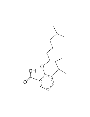 CCC(C)c1cccc(C(=O)O)c1OCCCCC(C)C